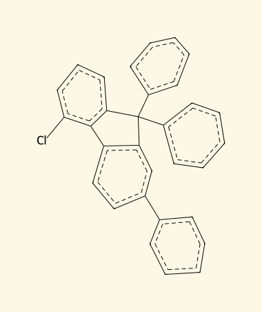 Clc1cccc2c1-c1ccc(-c3ccccc3)cc1C2(c1ccccc1)c1ccccc1